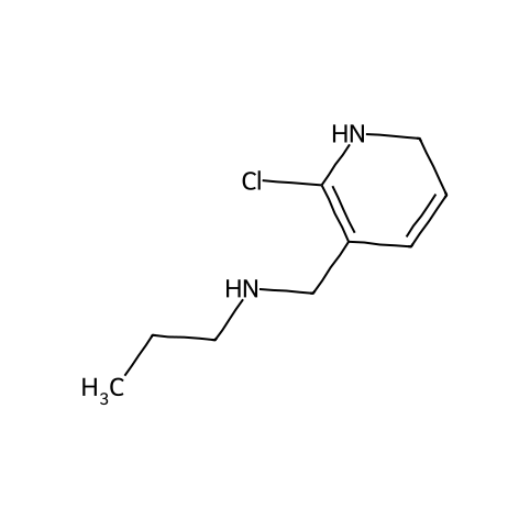 CCCNCC1=C(Cl)NCC=C1